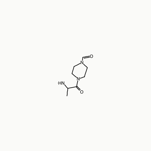 CC([NH])C(=O)N1CCN(C=O)CC1